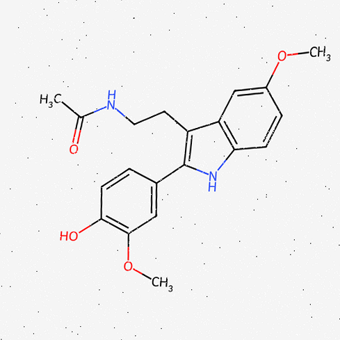 COc1ccc2[nH]c(-c3ccc(O)c(OC)c3)c(CCNC(C)=O)c2c1